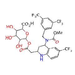 COC(=O)N(Cc1cc(C(F)(F)F)cc(C(F)(F)F)c1)C1CC(CC(=O)OC2OC(C(=O)O)C(O)C(O)C2O)Nc2ccc(C(F)(F)F)cc21